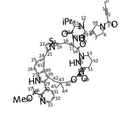 CC#CC(=O)N1CC[C@H](C(=O)N(C)C(C(=O)N[C@H]2Cc3nc(cs3)-c3ccc4[nH]c(-c5cccnc5[C@H](C)OC)c(c4c3)CC(C)(C)COC(=O)[C@@H]3CCCN(N3)C2=O)C(C)C)C1